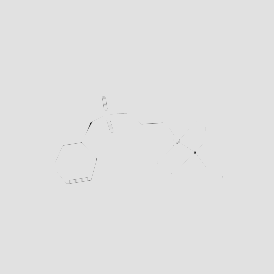 CC(C)(C)[Si](C)(C)OCOS(=O)(=O)C[C@H]1CC=COC1